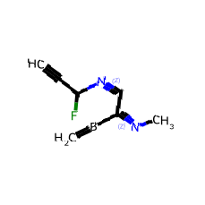 C#CC(F)/N=C\C(B=C)=N/C